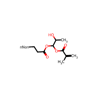 C=C(C)C(=O)OC(OC(=O)CCCCCCCCCCC)C(C)O